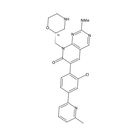 CNc1ncc2cc(-c3ccc(-c4cccc(C)n4)cc3Cl)c(=O)n(C[C@H]3CNCCO3)c2n1